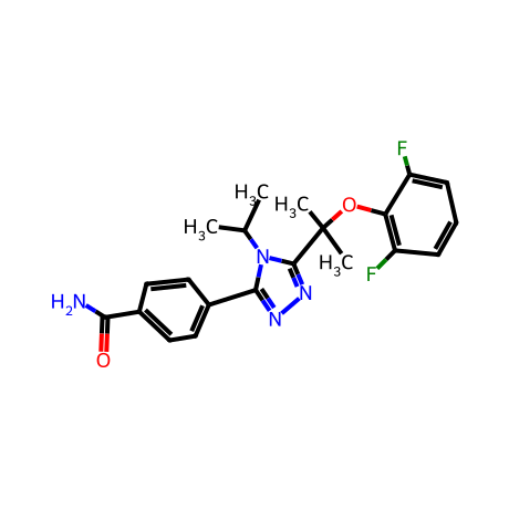 CC(C)n1c(-c2ccc(C(N)=O)cc2)nnc1C(C)(C)Oc1c(F)cccc1F